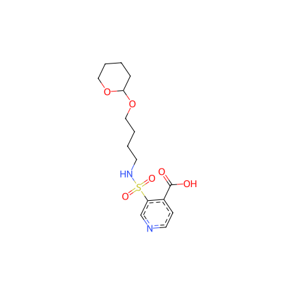 O=C(O)c1ccncc1S(=O)(=O)NCCCCOC1CCCCO1